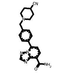 N#CC1CCN(Cc2ccc(-c3ccc(C(N)=O)c4n[c]nn34)cc2)CC1